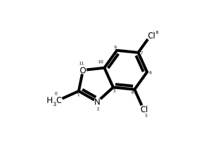 Cc1nc2c(Cl)cc(Cl)cc2o1